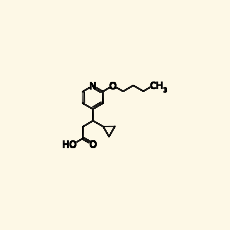 CCCCOc1cc(C(CC(=O)O)C2CC2)ccn1